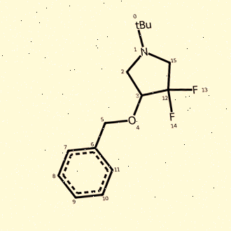 CC(C)(C)N1CC(OCc2ccccc2)C(F)(F)C1